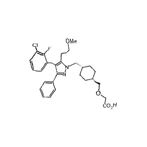 COCCc1c(-c2cccc(Cl)c2F)c(-c2ccccc2)nn1C[C@H]1CC[C@H](COCC(=O)O)CC1